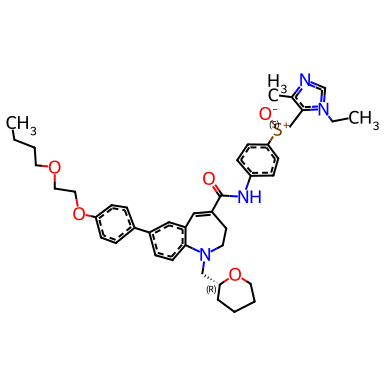 CCCCOCCOc1ccc(-c2ccc3c(c2)C=C(C(=O)Nc2ccc([S@+]([O-])Cc4c(C)ncn4CC)cc2)CCN3C[C@H]2CCCCO2)cc1